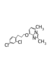 Cc1cn2c(C)ccc(OCCCc3ccc(Cl)cc3Cl)c2n1